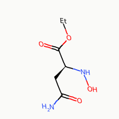 CCOC(=O)[C@H](CC(N)=O)NO